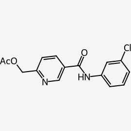 CC(=O)OCc1ccc(C(=O)Nc2cccc(Cl)c2)cn1